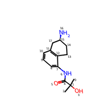 CC(C)(O)C(=O)Nc1cccc2c1CC[C@H](N)C2